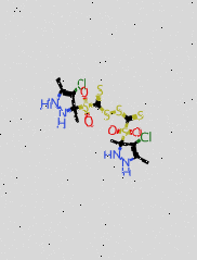 CC1=C(Cl)C(C)(S(=O)(=O)C(=S)SSC(=S)S(=O)(=O)C2(C)NNC(C)=C2Cl)NN1